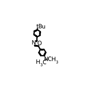 CN(C)c1ccc(-c2cnc(-c3ccc(C(C)(C)C)cc3)o2)cc1